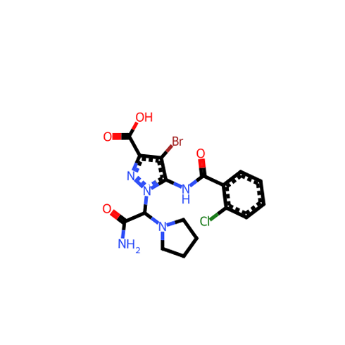 NC(=O)C(N1CCCC1)n1nc(C(=O)O)c(Br)c1NC(=O)c1ccccc1Cl